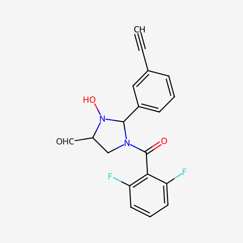 C#Cc1cccc(C2N(C(=O)c3c(F)cccc3F)CC(C=O)N2O)c1